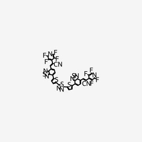 N#CC(=Cc1ccc(-c2ccc(-c3nnc(-c4ccc(-c5ccc(C=C(C#N)c6c(F)c(F)nc(F)c6F)c6nsnc56)s4)s3)s2)c2nsnc12)c1c(F)c(F)nc(F)c1F